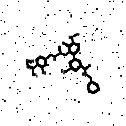 CC(C)Nc1ncc(-c2cc(N)cc(C(=O)NCc3ccccc3)c2)n(CC(=O)NCc2ccc(/C(N)=N\C(=O)O)c(O)c2)c1=O